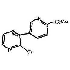 COc1ccc(-c2cccnc2C(C)C)cn1